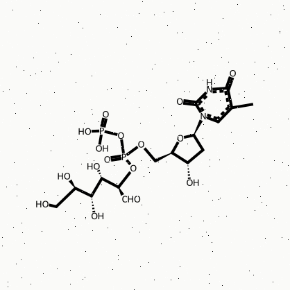 Cc1cn([C@H]2C[C@H](O)[C@@H](COP(=O)(O[C@@H](C=O)[C@@H](O)[C@H](O)[C@H](O)CO)OP(=O)(O)O)O2)c(=O)[nH]c1=O